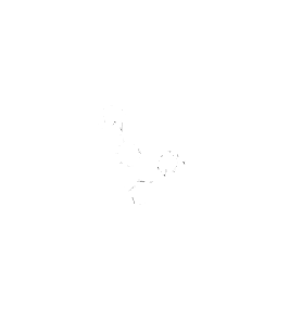 [c]1cccc(-c2ccc(N3CCCC3)cc2)c1-n1ccnc1